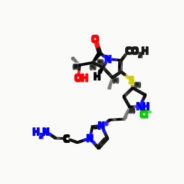 C[C@@H](O)[C@H]1C(=O)N2C(C(=O)O)=C(S[C@@H]3CN[C@H](CC[n+]4ccn(CCCN)c4)C3)[C@H](C)[C@H]12.[Cl-]